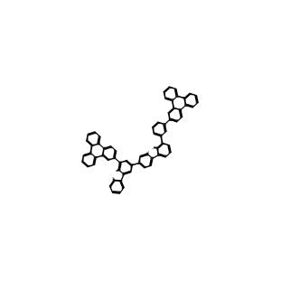 c1cc(-c2ccc3c4ccccc4c4ccccc4c3c2)cc(-c2cccc3c2sc2cc(-c4cc(-c5ccc6c7ccccc7c7ccccc7c6c5)c5sc6ccccc6c5c4)ccc23)c1